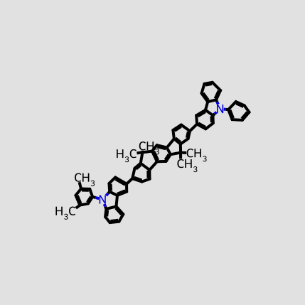 Cc1cc(C)cc(-n2c3ccccc3c3cc(-c4ccc5c(c4)C(C)(C)c4cc6c(cc4-5)C(C)(C)c4cc(-c5ccc7c(c5)c5ccccc5n7-c5ccccc5)ccc4-6)ccc32)c1